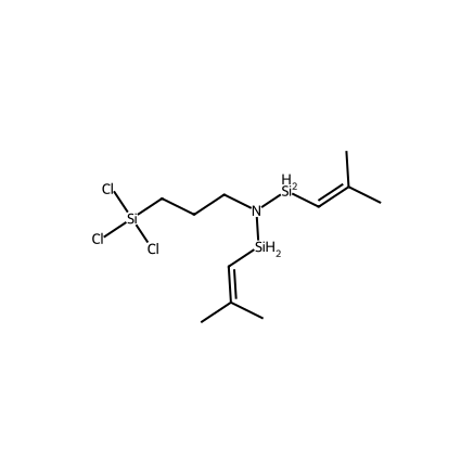 CC(C)=C[SiH2]N(CCC[Si](Cl)(Cl)Cl)[SiH2]C=C(C)C